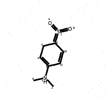 C[SiH](C)C1=CCC(=S(=O)=O)C=C1